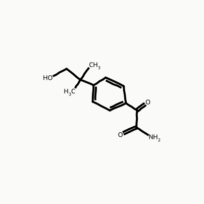 CC(C)(CO)c1ccc(C(=O)C(N)=O)cc1